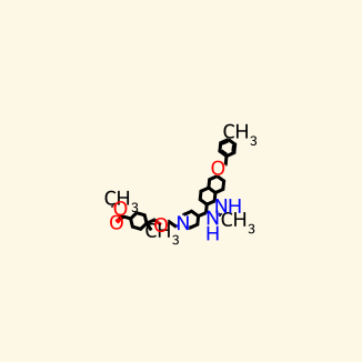 CCOC(=O)C1CCC(C)(COCCN2CCC(C3NC(C)NC4C5CCC(OCc6ccc(C)cc6)CC5CCC34)CC2)CC1